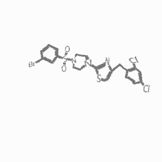 O=S(=O)(c1cccc(Br)c1)N1CCN(c2nc(Cc3ccc(Cl)cc3Cl)cs2)CC1